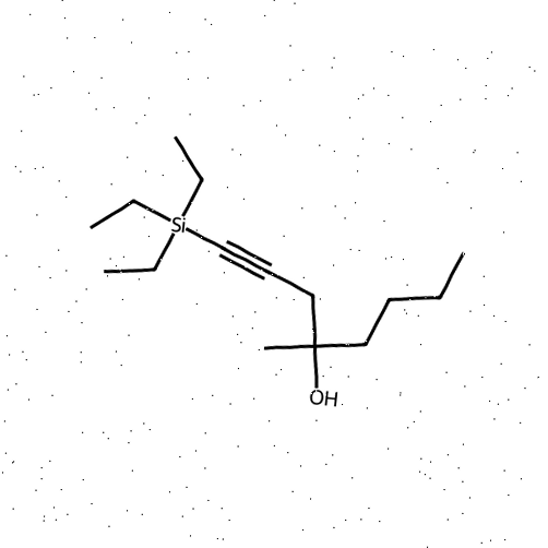 CCCCC(C)(O)CC#C[Si](CC)(CC)CC